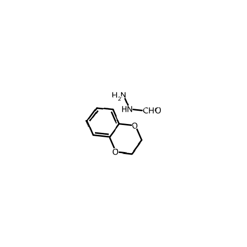 NNC=O.c1ccc2c(c1)OCCO2